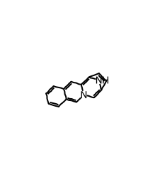 C1=c2ccc([nH]2)=C2C=c3ccccc3=CN12